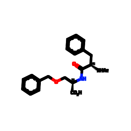 CC(=O)N[C@@H](Cc1ccccc1)C(=O)N[C@@H](COCc1ccccc1)C(=O)O